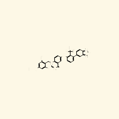 Cc1cc(F)c(Cn2cnc(=O)c3cc(Oc4cccc(-c5ccc6nonc6c5)c4C(F)(F)F)ccc32)c(F)c1